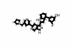 Oc1cc(F)cc(-c2cccc3[nH]c(-c4n[nH]c5cnc(-c6cncc(CN7CCCC7)c6)cc45)cc23)c1